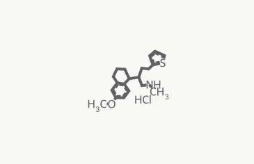 CNCC(CCc1cccs1)C1CCCc2cc(OC)ccc21.Cl